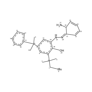 CC(C)(C)CC(C)(C)c1cc(C(C)(C)c2ccccc2)cc(N/N=C2/C=CC=CC2N)c1O